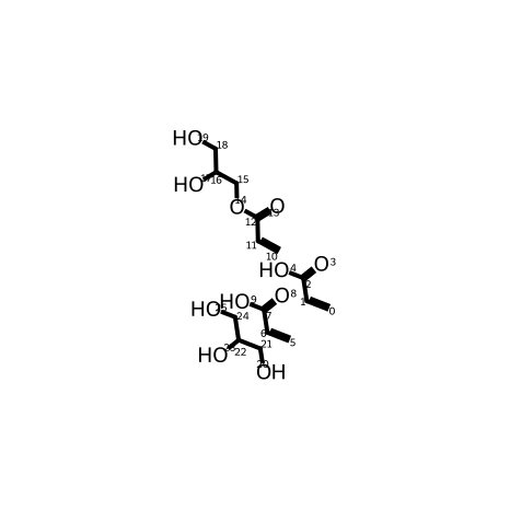 C=CC(=O)O.C=CC(=O)O.C=CC(=O)OCC(O)CO.OCC(O)CO